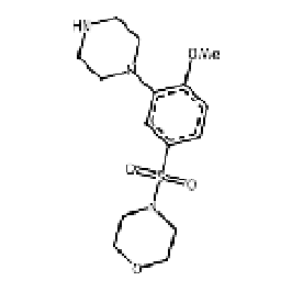 COc1ccc(S(=O)(=O)N2CCOCC2)cc1N1CCNCC1